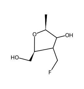 C[C@@H]1O[C@H](CO)C(CF)C1O